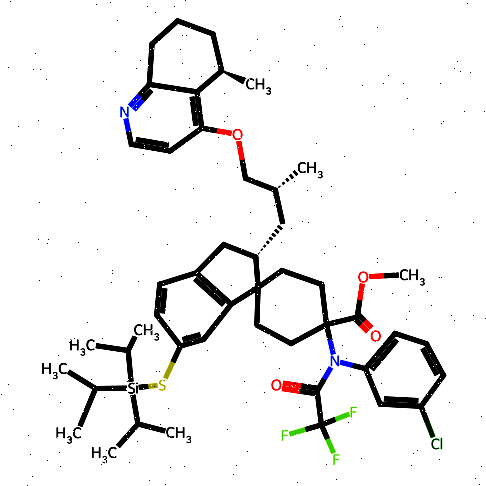 COC(=O)C1(N(C(=O)C(F)(F)F)c2cccc(Cl)c2)CCC2(CC1)c1cc(S[Si](C(C)C)(C(C)C)C(C)C)ccc1C[C@@H]2C[C@@H](C)COc1ccnc2c1[C@H](C)CCC2